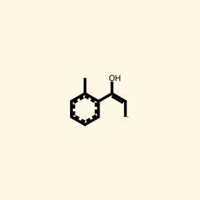 [CH2]/C=C(/O)c1ccccc1C